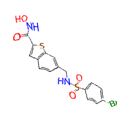 O=C(NO)c1cc2ccc(CNS(=O)(=O)c3ccc(Br)cc3)cc2s1